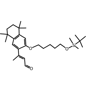 CC(=CC=O)c1cc2c(cc1OCCCCCO[Si](C)(C)C(C)(C)C)C(C)(C)CCC2(C)C